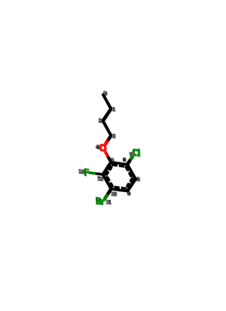 CCCCOc1c(Cl)ccc(Br)c1F